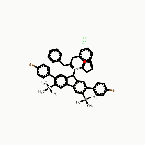 C[Si](C)(C)c1cc2c(cc1-c1ccc(Br)cc1)[CH]([Zr+2]([C]1=CC=CC1)=[C](Cc1ccccc1)Cc1ccccc1)c1cc(-c3ccc(Br)cc3)c([Si](C)(C)C)cc1-2.[Cl-].[Cl-]